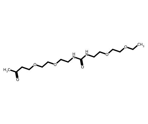 CCOCCOCCNC(=O)NCCOCCOCCC(C)=O